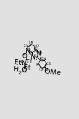 CCN(CC)C(=O)Cn1c(-c2ccc(OC)cc2)nc2cccnc21.O